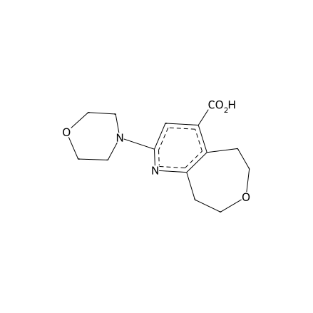 O=C(O)c1cc(N2CCOCC2)nc2c1CCOCC2